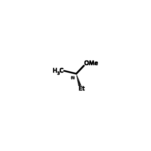 CC[C@H](C)OC